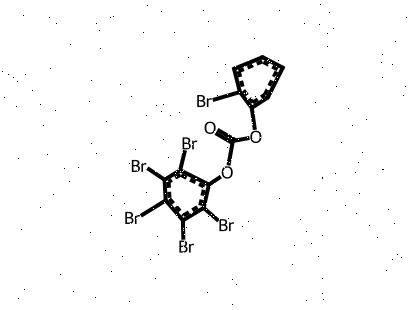 O=C(Oc1ccccc1Br)Oc1c(Br)c(Br)c(Br)c(Br)c1Br